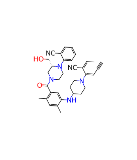 C#C/C=C(\C(C#N)=C/C)N1CCC(Nc2cc(C(=O)N3CCN(c4ccccc4C#N)[C@@H](CO)C3)c(C)cc2C)CC1